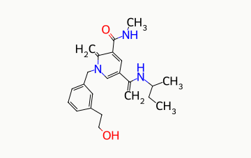 C=C(NC(C)CC)C1=CN(Cc2cccc(CCO)c2)C(=C)C(C(=O)NC)=C1